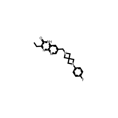 CCc1nc2ncc(CN3CC4(C3)CN(c3ccc(F)cc3)C4)cc2[nH]c1=O